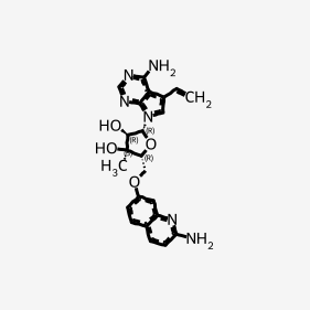 C=Cc1cn([C@@H]2O[C@H](COc3ccc4ccc(N)nc4c3)[C@@](C)(O)[C@H]2O)c2ncnc(N)c12